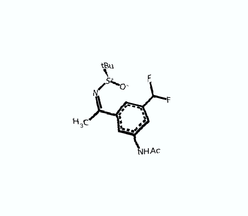 CC(=O)Nc1cc(/C(C)=N\[S@+]([O-])C(C)(C)C)cc(C(F)F)c1